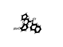 CCN(c1ccc2ccccc2c1)C1CC2(CCCC2)Oc2c(OC)cccc21